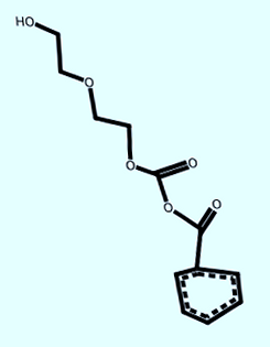 O=C(OCCOCCO)OC(=O)c1ccccc1